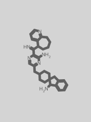 N=C(c1ncc(CC2CCC3(CC2)Cc2ccccc2C3N)nc1N)C1CCCCc2ncccc21